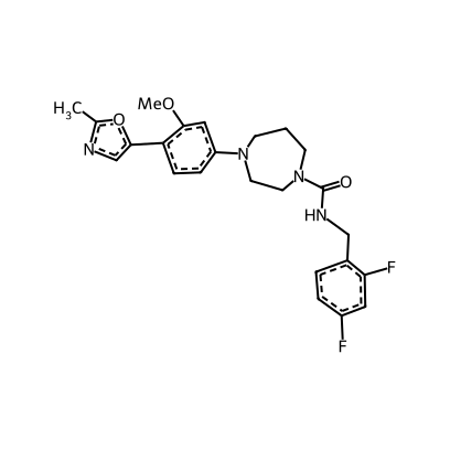 COc1cc(N2CCCN(C(=O)NCc3ccc(F)cc3F)CC2)ccc1-c1cnc(C)o1